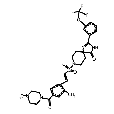 Cc1cc(C(=O)N2CCN(C)CC2)ccc1C=CS(=O)(=O)N1CCC2(CC1)N=C(c1cccc(OC(F)(F)F)c1)NC2=O